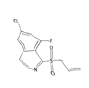 C=CCS(=O)(=O)c1nccc2cc(Cl)cc(F)c12